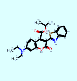 CCN(CC)c1ccc2c(C(=O)OC(C)C)c(-c3nc4ccccc4s3)c(=O)oc2c1